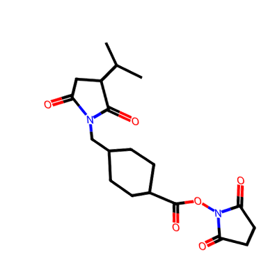 CC(C)C1CC(=O)N(CC2CCC(C(=O)ON3C(=O)CCC3=O)CC2)C1=O